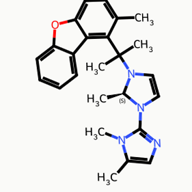 Cc1ccc2oc3ccccc3c2c1C(C)(C)N1C=CN(c2ncc(C)n2C)[C@H]1C